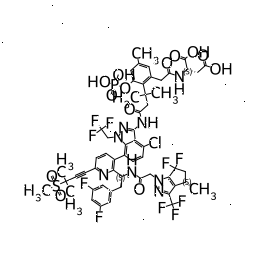 Cc1cc(CC(=O)N[C@@H](CC(=O)O)C(=O)O)c(C(C)(C)CC(=O)Nc2nn(CC(F)(F)F)c3c(-c4ccc(C#CC(C)(C)S(C)(=O)=O)nc4[C@H](Cc4cc(F)cc(F)c4)NC(=O)Cn4nc(C(F)(F)F)c5c4C(F)(F)C[C@@H]5C)ccc(Cl)c23)c(OP(=O)(O)O)c1